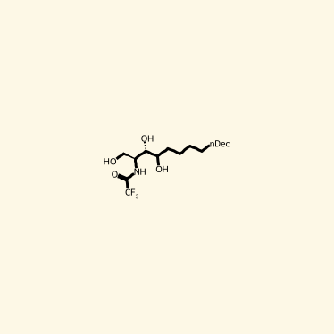 CCCCCCCCCCCCCCC(O)[C@@H](O)[C@H](CO)NC(=O)C(F)(F)F